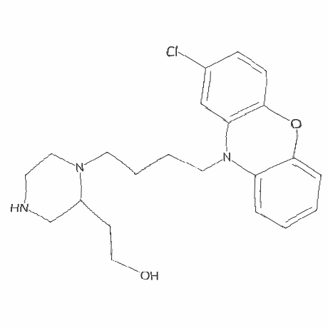 OCCC1CNCCN1CCCCN1c2ccccc2Oc2ccc(Cl)cc21